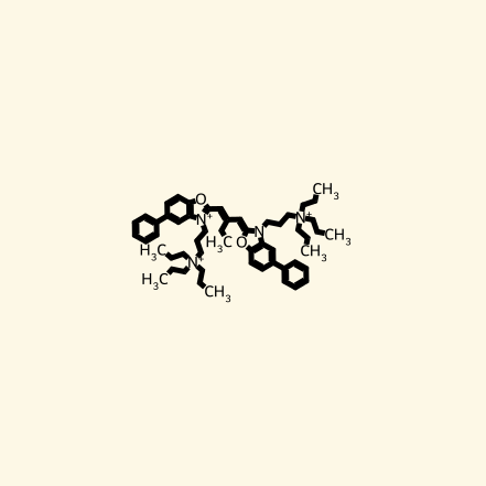 CCC[N+](CCC)(CCC)CCCN1/C(=C/C(=C/c2oc3ccc(-c4ccccc4)cc3[n+]2CCC[N+](CCC)(CCC)CCC)CC)Oc2ccc(-c3ccccc3)cc21